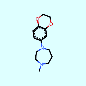 CN1CCCN(c2ccc3c(c2)OCCO3)CC1